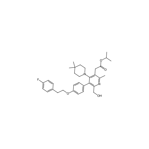 Cc1nc(CO)c(-c2ccc(OCCc3ccc(F)cc3)cc2)c(N2CCC(C)(C)CC2)c1CC(=O)OC(C)C